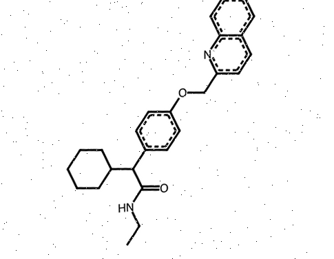 CCNC(=O)C(c1ccc(OCc2ccc3ccccc3n2)cc1)C1CCCCC1